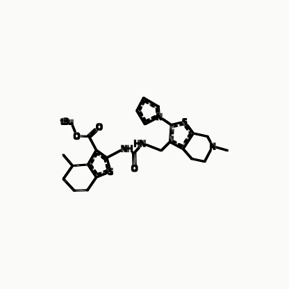 CC1CCCc2sc(NC(=O)NCc3c(-n4cccc4)sc4c3CCN(C)C4)c(C(=O)OC(C)(C)C)c21